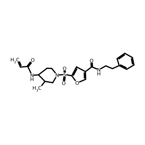 C=CC(=O)NC1CCN(S(=O)(=O)c2cc(C(=O)NCCc3ccccc3)co2)CC1C